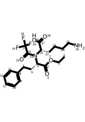 CCOC(=O)[C@H](CCc1ccccc1)N(C(=O)C(F)(F)F)[C@@H](CCCCN)C(=O)O